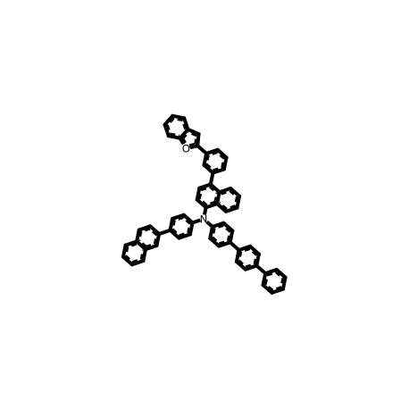 c1ccc(-c2ccc(-c3ccc(N(c4ccc(-c5ccc6ccccc6c5)cc4)c4ccc(-c5cccc(-c6cc7ccccc7o6)c5)c5ccccc45)cc3)cc2)cc1